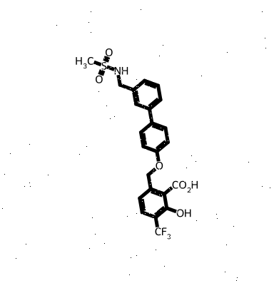 CS(=O)(=O)NCc1cccc(-c2ccc(OCc3ccc(C(F)(F)F)c(O)c3C(=O)O)cc2)c1